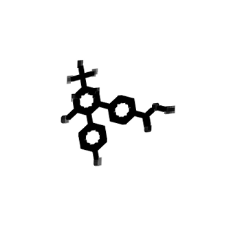 O=C(OS)c1ccc(-c2nc(C(F)(F)F)nc(Cl)c2-c2ccc(Cl)cc2)cc1